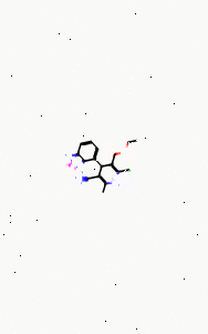 CCOC(=O)C1=C(CCl)NC(C)=C(C#N)C1c1cccc2nonc12